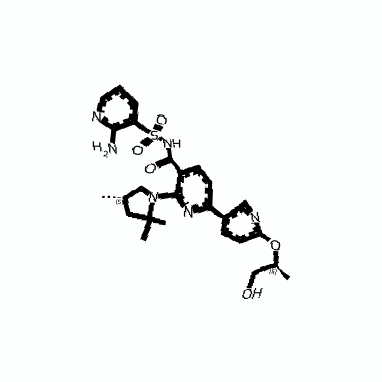 C[C@@H]1CN(c2nc(-c3ccc(O[C@@H](C)CO)nc3)ccc2C(=O)NS(=O)(=O)c2cccnc2N)C(C)(C)C1